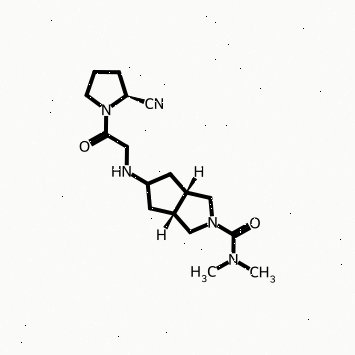 CN(C)C(=O)N1C[C@H]2CC(NCC(=O)N3CCC[C@H]3C#N)C[C@H]2C1